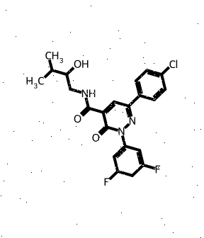 CC(C)C(O)CNC(=O)c1cc(-c2ccc(Cl)cc2)nn(C2=CC(F)CC(F)=C2)c1=O